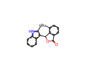 CCCCc1cccc2c1C(c1c(C)[nH]c3ccccc13)OC2=O